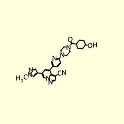 Cn1cc(-c2cc(-c3ccc(N4CCN(C(=O)C5CCC(O)CC5)CC4)nc3)c3c(C#N)cnn3c2)cn1